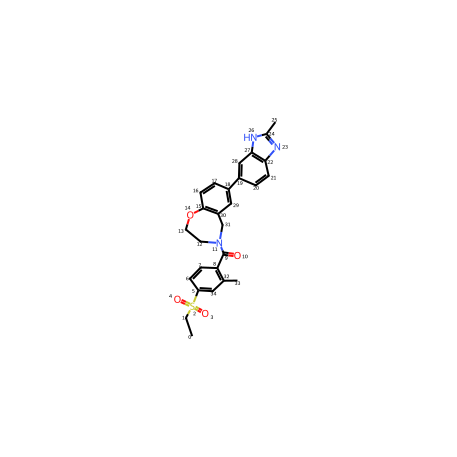 CCS(=O)(=O)c1ccc(C(=O)N2CCOc3ccc(-c4ccc5nc(C)[nH]c5c4)cc3C2)c(C)c1